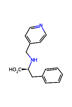 O=C(O)[C@H](Cc1ccccc1)NCc1ccncc1